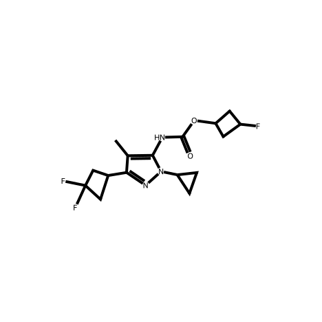 Cc1c(C2CC(F)(F)C2)nn(C2CC2)c1NC(=O)OC1CC(F)C1